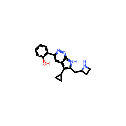 Oc1ccccc1-c1cc2c(C3CC3)c(CC3CCN3)[nH]c2nn1